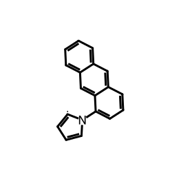 [c]1cccn1-c1cccc2cc3ccccc3cc12